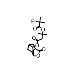 CCC(C)(C)C(=O)OC(C)(C)CC(=O)OC1C2CC3C(=O)OC1C3C2